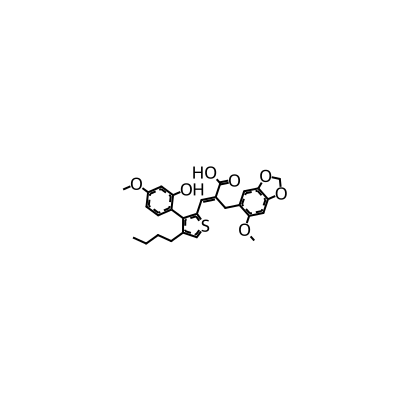 CCCCc1csc(/C=C(\Cc2cc3c(cc2OC)OCO3)C(=O)O)c1-c1ccc(OC)cc1O